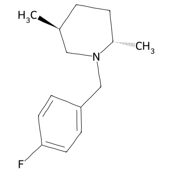 C[C@H]1CC[C@H](C)N(Cc2ccc(F)cc2)C1